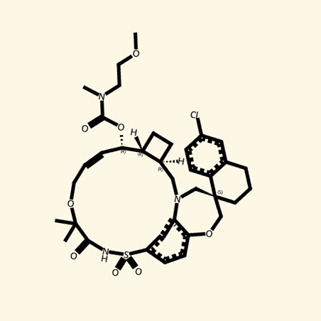 COCCN(C)C(=O)O[C@H]1C=CCOC(C)(C)C(=O)NS(=O)(=O)c2ccc3c(c2)N(C[C@@H]2CC[C@H]21)C[C@@]1(CCCc2cc(Cl)ccc21)CO3